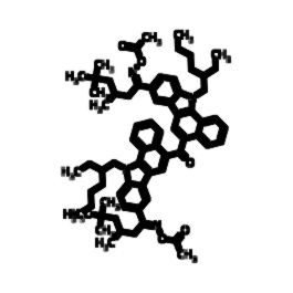 CCCCC(CC)Cn1c2ccc(/C(CC(C)CC(C)(C)C)=N\OC(C)=O)cc2c2cc(C(=O)c3cc4c5cc(/C(CC(C)CC(C)(C)C)=N/OC(C)=O)ccc5n(CC(CC)CCCC)c4c4ccccc34)c3ccccc3c21